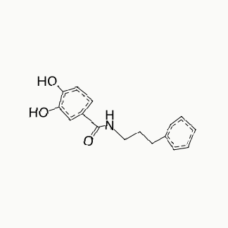 O=C(NCCCc1ccccc1)c1ccc(O)c(O)c1